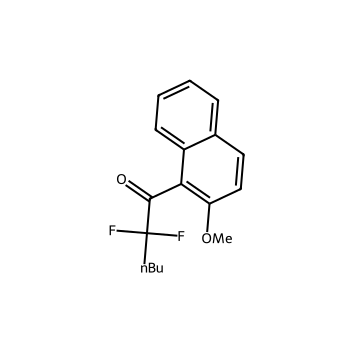 CCCCC(F)(F)C(=O)c1c(OC)ccc2ccccc12